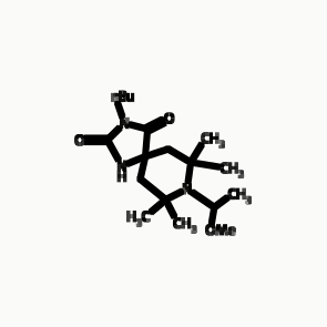 CCCCN1C(=O)NC2(CC(C)(C)N(C(C)OC)C(C)(C)C2)C1=O